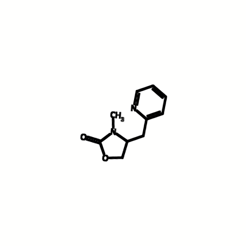 CN1C(=O)OCC1Cc1ccccn1